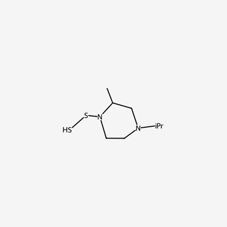 CC(C)N1CCN(SS)C(C)C1